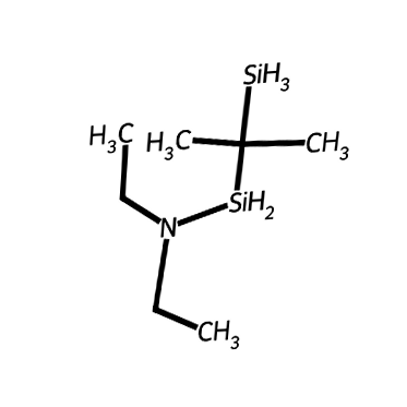 CCN(CC)[SiH2]C(C)(C)[SiH3]